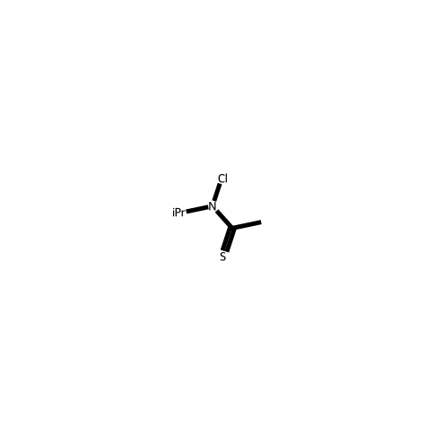 CC(=S)N(Cl)C(C)C